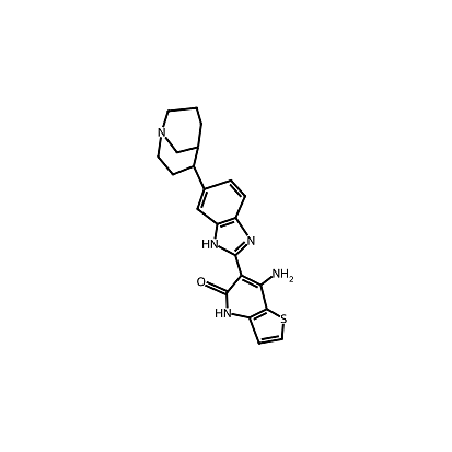 Nc1c(-c2nc3ccc(C4CCN5CCCC4C5)cc3[nH]2)c(=O)[nH]c2ccsc12